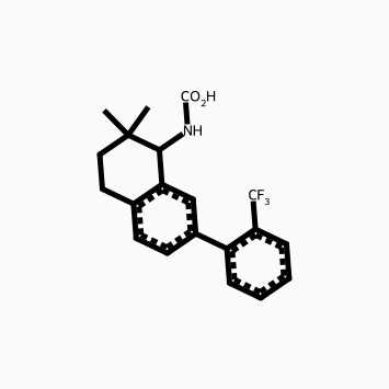 CC1(C)CCc2ccc(-c3ccccc3C(F)(F)F)cc2C1NC(=O)O